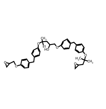 CCC(C)(CC(O)COc1ccc(Cc2ccc(OC(C)(C)CC3CO3)cc2)cc1)Oc1ccc(Cc2ccc(OCC3CO3)cc2)cc1